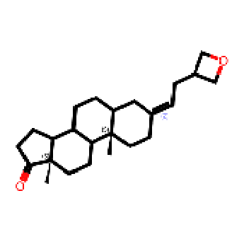 C[C@]12CC/C(=C/CC3COC3)CC1CCC1C2CC[C@]2(C)C(=O)CCC12